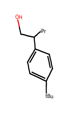 CC(C)C(CO)c1ccc(C(C)(C)C)cc1